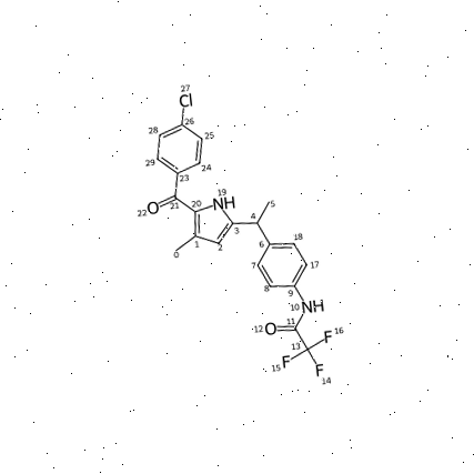 Cc1cc(C(C)c2ccc(NC(=O)C(F)(F)F)cc2)[nH]c1C(=O)c1ccc(Cl)cc1